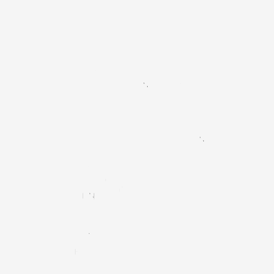 Cc1ccc2c(C#N)c(-c3ccc(S(=O)(=O)N[C@H](C)C(F)(F)F)cc3)n(C3CCC3)c2c1